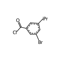 CC(C)c1cc(Br)cc(C(=O)Cl)c1